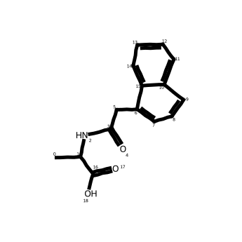 CC(NC(=O)Cc1cccc2ccccc12)C(=O)O